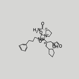 NC(=O)[C@@H]1CCC[N+]1(C(=O)NCCCc1ccccc1)C(=O)[C@H](CC1CCCC1)CN(O)C=O